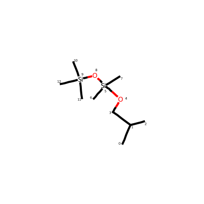 CC(C)CO[Si](C)(C)O[Si](C)(C)C